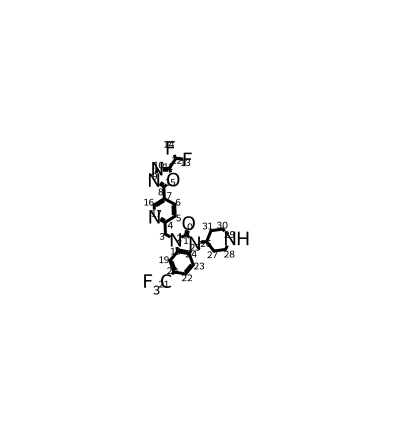 O=c1n(Cc2ccc(-c3nnc(C(F)F)o3)cn2)c2cc(C(F)(F)F)ccc2n1C1CCNCC1